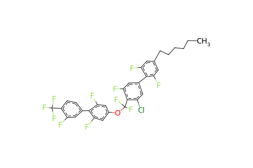 CCCCCCc1cc(F)c(-c2cc(F)c(C(F)(F)Oc3cc(F)c(-c4ccc(C(F)(F)F)c(F)c4)c(F)c3)c(Cl)c2)c(F)c1